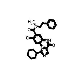 CN(CCc1ccccc1)C(=O)c1cc2[nH]c(=O)c3cnc(C4CCCCC4)n3c2cc1Cl